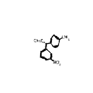 Cc1ccc([C@H](C=O)c2cccc([N+](=O)[O-])c2)cc1